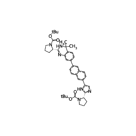 CC(C)(C)OC(=O)N1CCC[C@H]1C1=Nc2cc(-c3ccc4cc(-c5cnc([C@@H]6CCCN6C(=O)OC(C)(C)C)[nH]5)ccc4c3)ccc2C(C)(C)N1